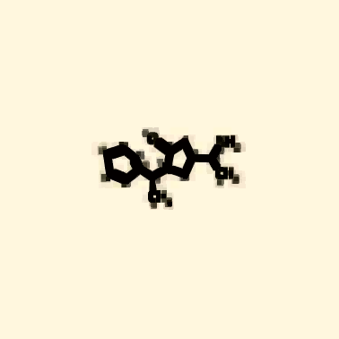 CC(N)C1CC(=O)N([C@@H](C)c2ccccc2)C1